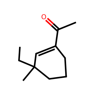 CCC1(C)C=C(C(C)=O)CCC1